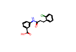 O=C(CCc1ccccc1Cl)Nc1cccc(C(=O)O)c1